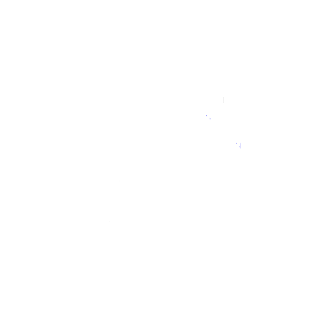 CCN(Cc1ccc2c3ccccc3c3ccccc3c2c1)CN(C)C